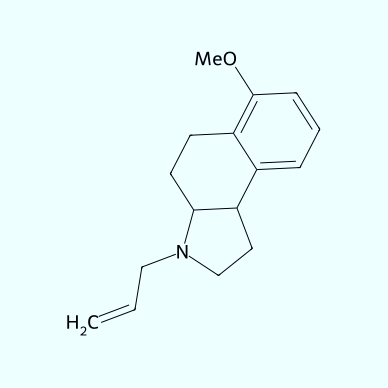 C=CCN1CCC2c3cccc(OC)c3CCC21